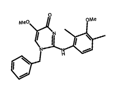 COc1c(C)ccc(Nc2nc(=O)c(OC)cn2Cc2ccccc2)c1C